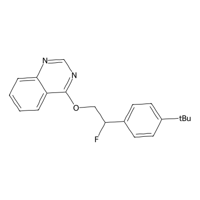 CC(C)(C)c1ccc(C(F)COc2ncnc3ccccc23)cc1